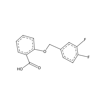 O=C(O)c1ccccc1OCc1ccc(F)c(F)c1